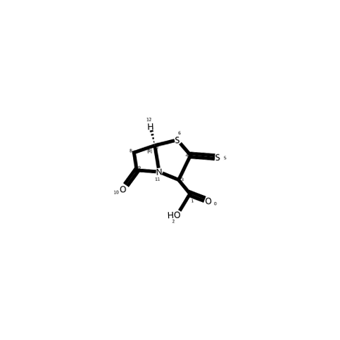 O=C(O)C1C(=S)S[C@@H]2CC(=O)N12